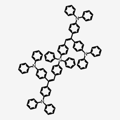 C(=C(c1ccc(N(c2ccccc2)c2ccccc2)cc1)c1ccc(N(c2ccccc2)c2ccccc2)cc1)c1ccc([Si](c2ccccc2)(c2ccccc2)c2ccc(C=C(c3ccc(N(c4ccccc4)c4ccccc4)cc3)c3ccc(N(c4ccccc4)c4ccccc4)cc3)cc2)cc1